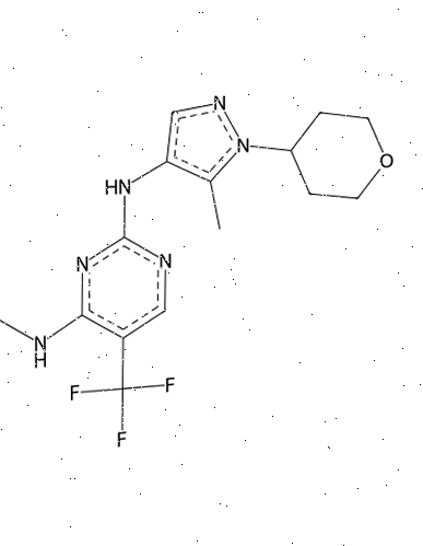 CNc1nc(Nc2cnn(C3CCOCC3)c2C)ncc1C(F)(F)F